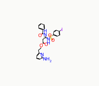 Nc1cccc(CCOC(=O)C[C@@H](NC(=O)c2ccccc2)NS(=O)(=O)c2ccc(I)cc2)n1